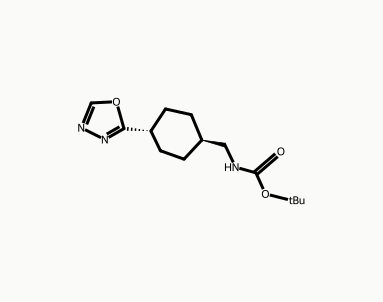 CC(C)(C)OC(=O)NC[C@H]1CC[C@H](c2nnco2)CC1